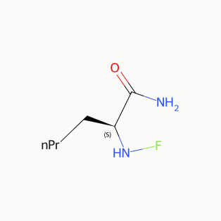 CCCC[C@H](NF)C(N)=O